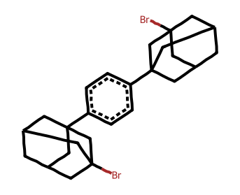 BrC12CC3CC(C1)CC(c1ccc(C45CC6CC(CC(Br)(C6)C4)C5)cc1)(C3)C2